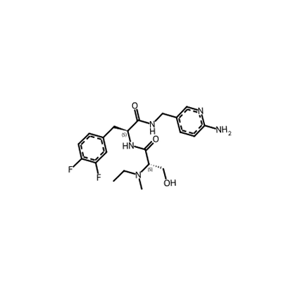 CCN(C)[C@@H](CO)C(=O)N[C@@H](Cc1ccc(F)c(F)c1)C(=O)NCc1ccc(N)nc1